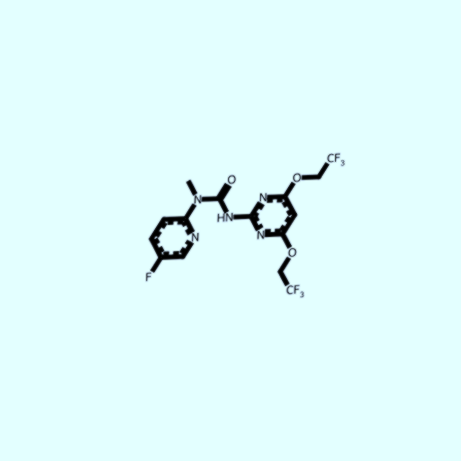 CN(C(=O)Nc1nc(OCC(F)(F)F)cc(OCC(F)(F)F)n1)c1ccc(F)cn1